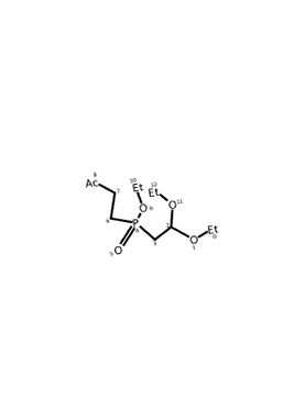 CCOC(CP(=O)(CCC(C)=O)OCC)OCC